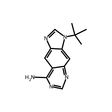 CC(C)(C)n1cnc2cc3c(N)ncnc3cc21